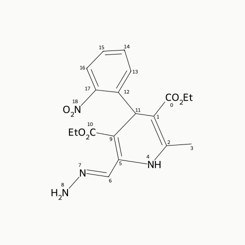 CCOC(=O)C1=C(C)NC(C=NN)=C(C(=O)OCC)C1c1ccccc1[N+](=O)[O-]